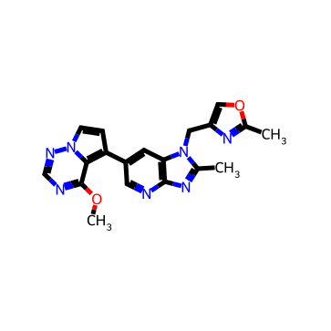 COc1ncnn2ccc(-c3cnc4nc(C)n(Cc5coc(C)n5)c4c3)c12